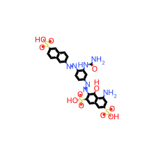 NC(=O)Nc1cc(N=Nc2c(S(=O)(=O)O)cc3cc(S(=O)(=O)O)cc(N)c3c2O)ccc1N=Nc1ccc2cc(S(=O)(=O)O)ccc2c1